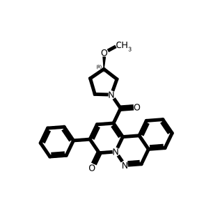 CO[C@@H]1CCN(C(=O)c2cc(-c3ccccc3)c(=O)n3ncc4ccccc4c23)C1